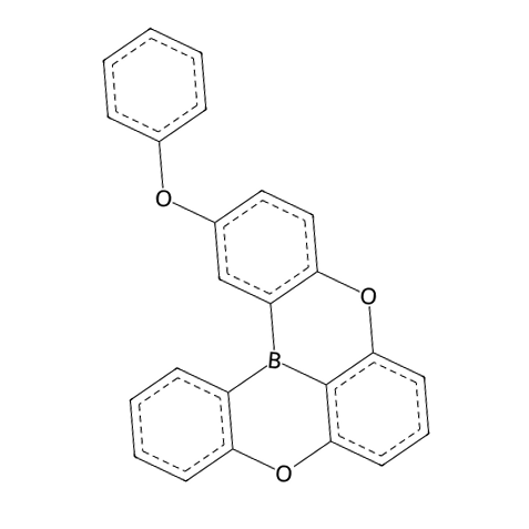 c1ccc(Oc2ccc3c(c2)B2c4ccccc4Oc4cccc(c42)O3)cc1